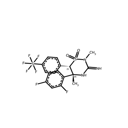 CN1C(=N)N[C@](C)(c2ccc(F)cc2F)[C@H](c2ccc(S(F)(F)(F)(F)F)cc2)S1(=O)=O